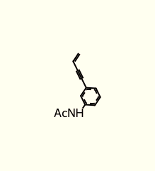 C=CC#Cc1cccc(NC(C)=O)c1